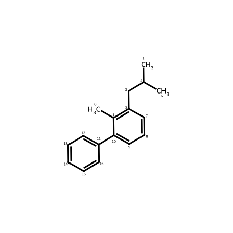 Cc1c(CC(C)C)cccc1-c1ccccc1